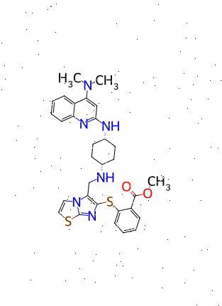 COC(=O)c1ccccc1Sc1nc2sccn2c1CN[C@H]1CC[C@@H](Nc2cc(N(C)C)c3ccccc3n2)CC1